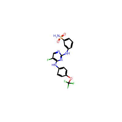 NS(=O)(=O)c1cccc(Nc2ncc(F)c(Nc3ccc(OC(F)(F)F)cc3)n2)c1